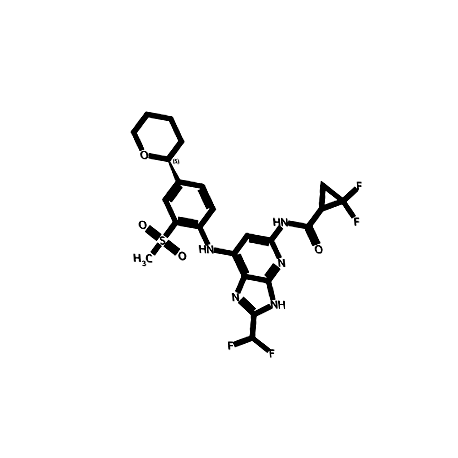 CS(=O)(=O)c1cc([C@@H]2CCCCO2)ccc1Nc1cc(NC(=O)C2CC2(F)F)nc2[nH]c(C(F)F)nc12